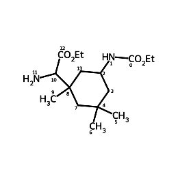 CCOC(=O)NC1CC(C)(C)CC(C)(C(N)C(=O)OCC)C1